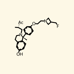 CC(=O)[C@@H](C)CN1CCc2cc(O)ccc2[C@@]1(C)c1ccc(OCCN2CC(CF)C2)cc1